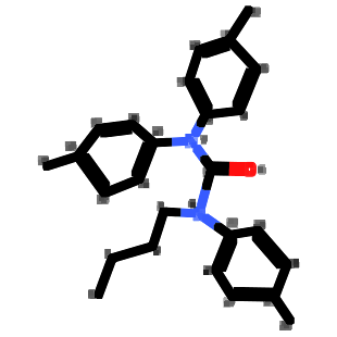 CCCCN(C(=O)N(c1ccc(C)cc1)c1ccc(C)cc1)c1ccc(C)cc1